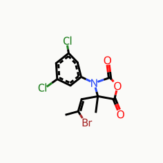 CC(Br)=CC1(C)C(=O)OC(=O)N1c1cc(Cl)cc(Cl)c1